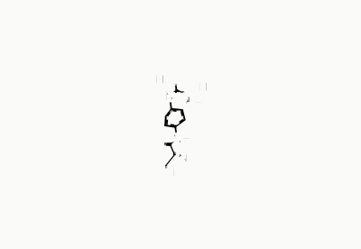 CC(=Nc1ccc(NC(=O)[C@H](N)CO)cc1)N(C)C